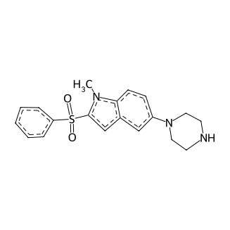 Cn1c(S(=O)(=O)c2ccccc2)cc2cc(N3CCNCC3)ccc21